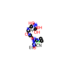 CCC(=O)N1CCN(c2nc(OCC3CCN(C(=O)C4CCN(Cc5ccc(-n6c(O)nnc6-c6cc(C(C)C)c(O)cc6O)cc5)CC4)CC3)nc3c2CCN(c2cccc4cccc(Cl)c24)C3)CC1CC#N